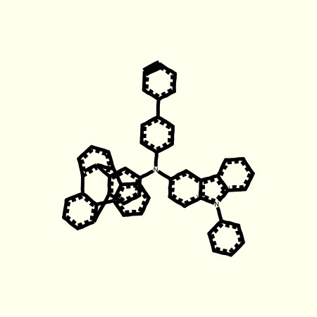 c1ccc(-c2ccc(N(c3ccc4c(c3)-c3c5cccc3-c3cccc-4c3-c3ccccc3-5)c3ccc4c(c3)c3ccccc3n4-c3ccccc3)cc2)cc#1